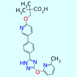 Cc1cccc(Oc2n[nH]c(-c3ccc(-c4ccc(OCC(C)(C)C(=O)O)nc4)cc3)n2)n1